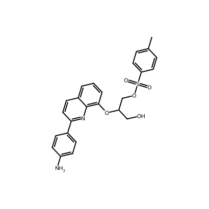 Cc1ccc(S(=O)(=O)OCC(CO)Oc2cccc3ccc(-c4ccc(N)cc4)nc23)cc1